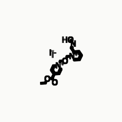 CCOC(=O)c1cc[n+](COC[n+]2ccccc2C=NO)cc1.[I-].[I-]